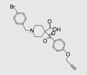 C#CCOc1ccc(S(=O)(=O)C2(C(=O)O)CCN(Cc3ccc(Br)cc3)CC2)cc1